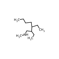 CCCCC(CC)C(CC)CNC